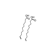 C=CCCCCCCCCC(=O)O.C=CCCCCCCCCC(=O)O